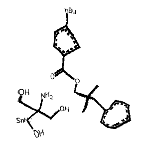 CCCCc1ccc(C(=O)OCC(C)(C)c2ccccc2)cc1.NC(CO)(CO)CO.[SnH2]